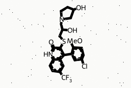 COc1ccc(Cl)cc1-c1c(SCC(O)CN2CCC(O)C2)c(=O)[nH]c2ccc(C(F)(F)F)cc12